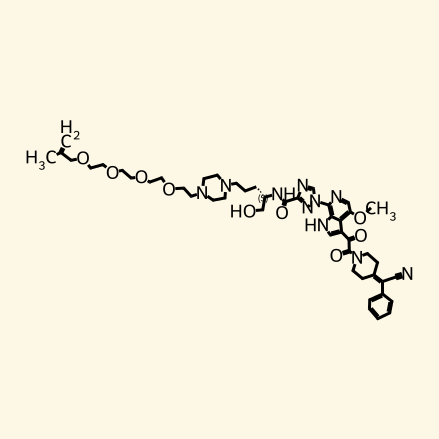 C=C(C)COCCOCCOCCOCCN1CCN(CCC[C@@H](CO)NC(=O)c2ncn(-c3ncc(OC)c4c(C(=O)C(=O)N5CCC(=C(C#N)c6ccccc6)CC5)c[nH]c34)n2)CC1